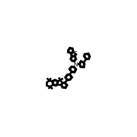 CC1(C)CCC(C)(C)c2cc3c(cc21)-c1cccc(-c2ccc(-c4ccc(N(c5cccc(-c6ccccc6)c5)c5ccc6c(c5)sc5ccccc56)cc4)cc2)c1C3(C)C